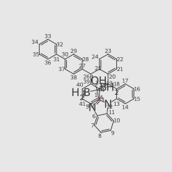 BC(B)(O)c1nc2ccccc2n1-c1ccccc1-c1c2ccccc2c(-c2ccc(-c3ccccc3)cc2)c2ccccc12